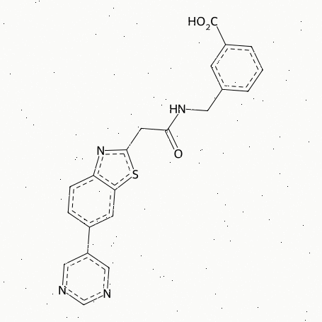 O=C(Cc1nc2ccc(-c3cncnc3)cc2s1)NCc1cccc(C(=O)O)c1